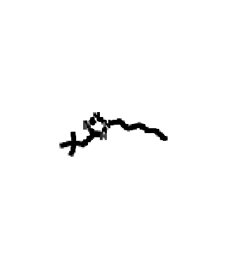 CCCCCCn1nnc(CC(C)(C)C)n1